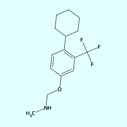 CNCOc1ccc(C2CCCCC2)c(C(F)(F)F)c1